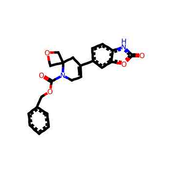 O=C(OCc1ccccc1)N1CC=C(c2ccc3[nH]c(=O)oc3c2)CC12COC2